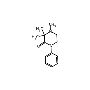 CN1CCN(c2ccccc2)C(=O)C1(C)C